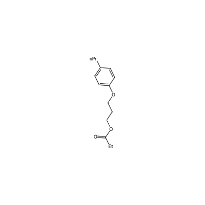 CCCc1ccc(OCCCOC(=O)CC)cc1